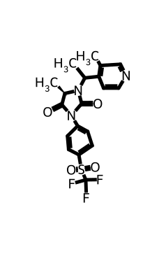 Cc1cnccc1C(C)N1C(=O)N(c2ccc(S(=O)(=O)C(F)(F)F)cc2)C(=O)[C@H]1C